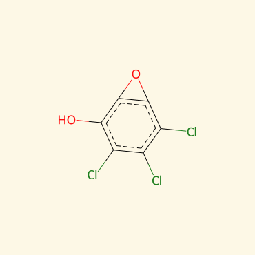 Oc1c(Cl)c(Cl)c(Cl)c2c1O2